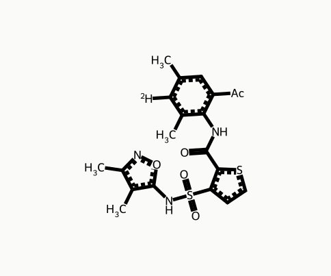 [2H]c1c(C)cc(C(C)=O)c(NC(=O)c2sccc2S(=O)(=O)Nc2onc(C)c2C)c1C